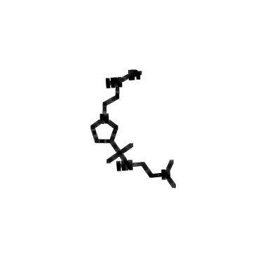 CC(C)NCCN1CCC(C(C)(C)NCCN(C)C)C1